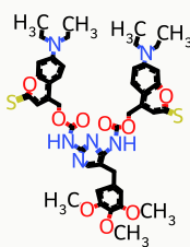 CCN(CC)c1ccc2c(COC(=O)Nc3ncc(Cc4cc(OC)c(OC)c(OC)c4)c(NC(=O)OCc4cc(=S)oc5cc(N(CC)CC)ccc45)n3)cc(=S)oc2c1